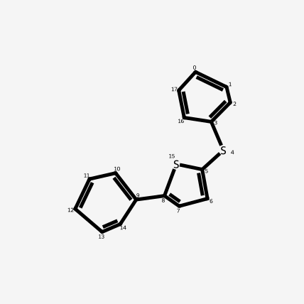 c1ccc(Sc2ccc(-c3ccccc3)s2)cc1